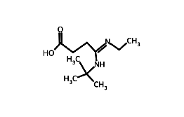 CCN=C(CCC(=O)O)NC(C)(C)C